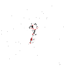 NCC(O)CNC(=O)[C@@H](N)CCCNC(=O)[C@@H](N)CCNC(=O)[C@@H]1Cc2cccc(c2)-c2ccc(O)c(c2)C[C@H](N)C(=O)N[C@@H](C[C@@H](O)CN)C(=O)N1